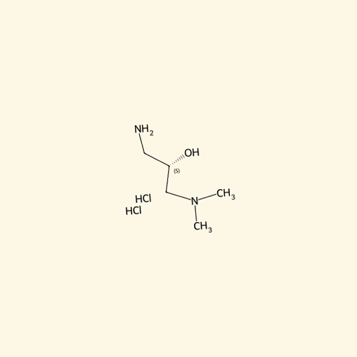 CN(C)C[C@@H](O)CN.Cl.Cl